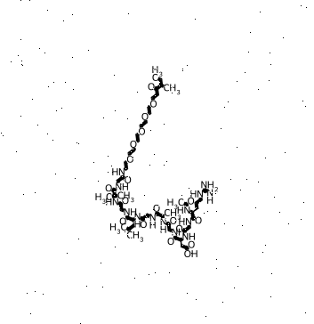 CCC(C)C(=O)CCOCCOCCOCCOCCOCCNC(=O)CNC(=O)C(C)(C)NC(=O)CNC(=O)[C@H](CC(C)C)NC(=O)CNC(=O)[C@H](C)NC(=O)CNC(=O)[C@H](CC(=O)O)NC(=O)CNC(=O)[C@H](CCCNC(=N)N)NC(C)=O